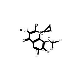 CCc1c(C(=O)O)c(=O)c2cc(F)c(Br)c(OC(F)F)c2n1C1CC1